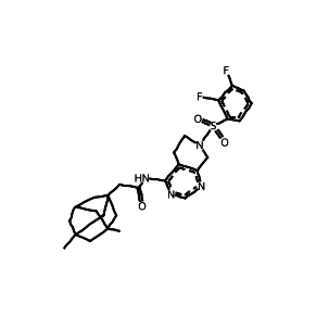 CC12CC3CC(C)(C1)CC(CC(=O)Nc1ncnc4c1CCN(S(=O)(=O)c1cccc(F)c1F)C4)(C3)C2